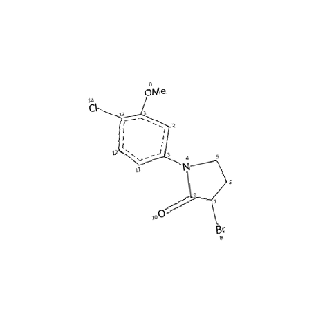 COc1cc(N2CCC(Br)C2=O)ccc1Cl